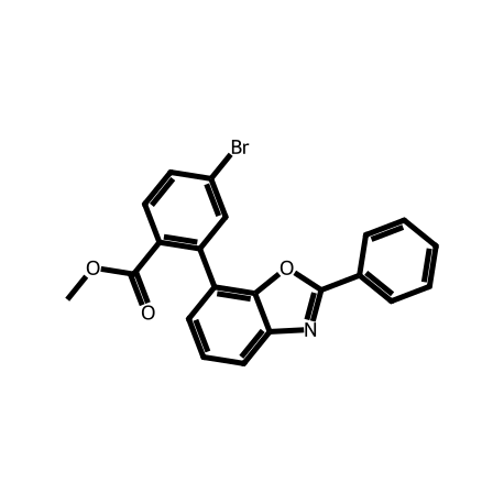 COC(=O)c1ccc(Br)cc1-c1cccc2nc(-c3ccccc3)oc12